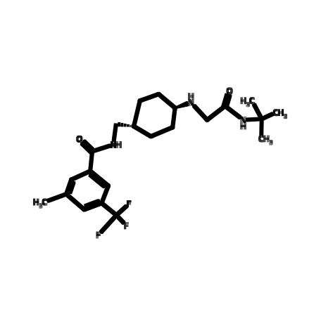 Cc1cc(C(=O)NC[C@H]2CC[C@H](NCC(=O)NC(C)(C)C)CC2)cc(C(F)(F)F)c1